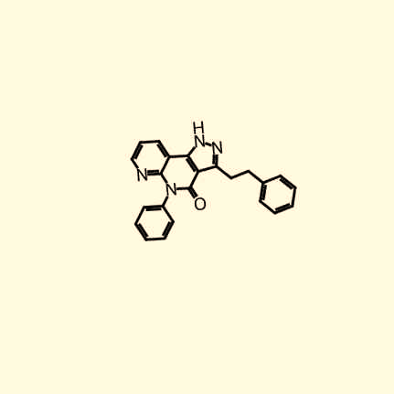 O=c1c2c(CCc3ccccc3)n[nH]c2c2cccnc2n1-c1ccccc1